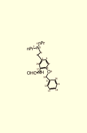 CCCN(CCC)CCc1ccc(OCc2ccccc2)c(NC=O)c1